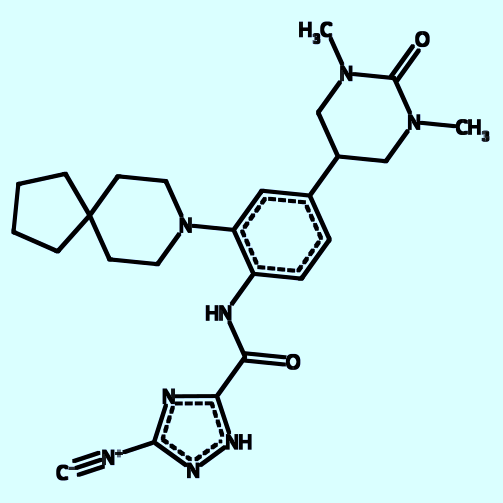 [C-]#[N+]c1n[nH]c(C(=O)Nc2ccc(C3CN(C)C(=O)N(C)C3)cc2N2CCC3(CCCC3)CC2)n1